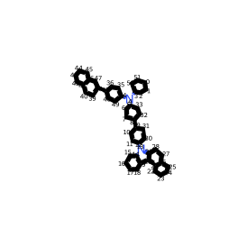 c1ccc(N(c2ccc(-c3ccc(-n4c5ccccc5c5c6ccccc6ccc54)cc3)cc2)c2ccc(-c3ccc4ccccc4c3)cc2)cc1